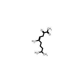 CC(=O)C(=O)CC=C(C)CCCC(C)C